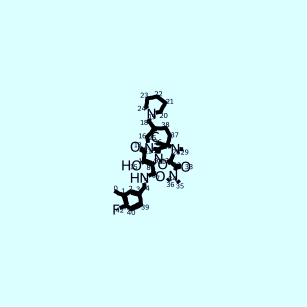 Cc1cc(CNC(=O)c2nc3n(c(=O)c2O)CC2(CN4CCCCC4)CCC3(N(C)C(=O)C(=O)N(C)C)CC2)ccc1F